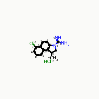 CC1CN(C(=N)N)c2ccc3c(Cl)cccc3c21.Cl